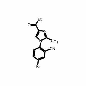 CCC(=O)c1cn(-c2ccc(Br)cc2C#N)c(C)n1